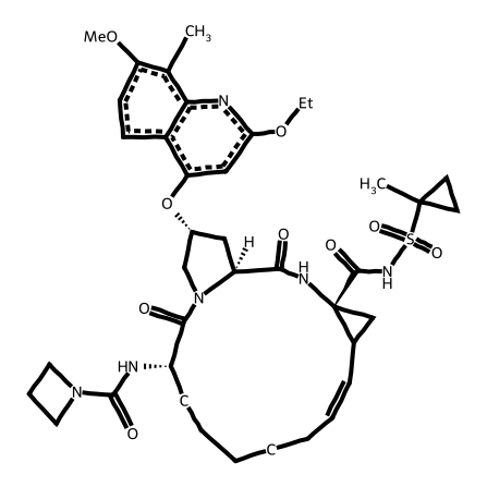 CCOc1cc(O[C@@H]2C[C@H]3C(=O)N[C@]4(C(=O)NS(=O)(=O)C5(C)CC5)CC4/C=C\CCCCC[C@H](NC(=O)N4CCC4)C(=O)N3C2)c2ccc(OC)c(C)c2n1